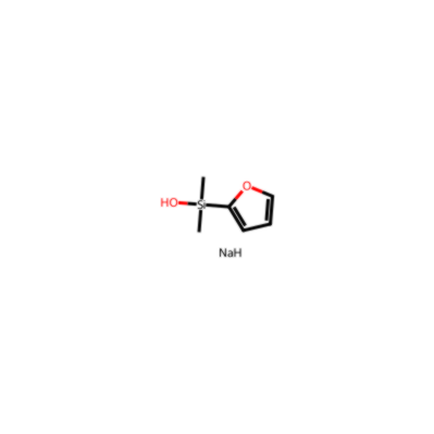 C[Si](C)(O)c1ccco1.[NaH]